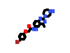 Cc1nc(N2CCCNCC2)nc2ccc(NC(=O)COc3ccc(Br)cc3)cc12